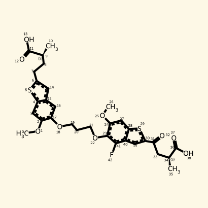 COc1cc2sc(CC[C@H](C)C(=O)O)cc2cc1OCCCOc1c(OC)cc2sc(C(=O)C[C@H](C)C(=O)O)cc2c1F